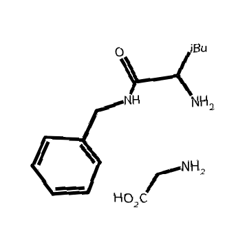 CCC(C)C(N)C(=O)NCc1ccccc1.NCC(=O)O